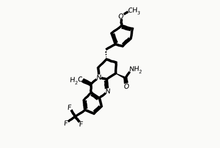 C=C1c2cc(C(F)(F)F)ccc2N=C2[C@H](C(N)=O)C[C@@H](Cc3cccc(OC)c3)CN12